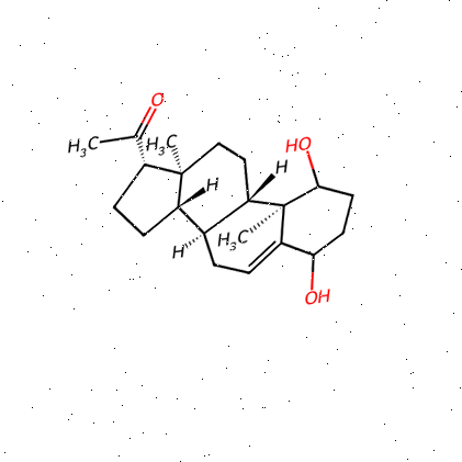 CC(=O)[C@H]1CC[C@H]2[C@@H]3CC=C4C(O)CCC(O)[C@]4(C)[C@H]3CC[C@]12C